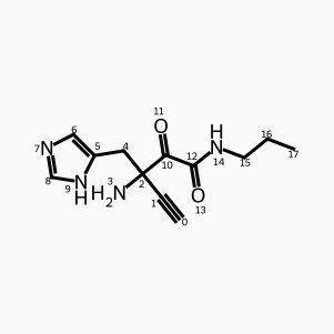 C#CC(N)(Cc1cnc[nH]1)C(=O)C(=O)NCCC